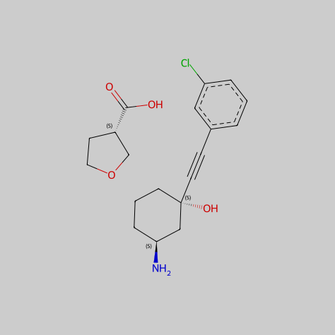 N[C@H]1CCC[C@@](O)(C#Cc2cccc(Cl)c2)C1.O=C(O)[C@H]1CCOC1